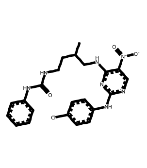 CC(CCNC(=O)Nc1ccccc1)CNc1nc(Nc2ccc(Cl)cc2)ncc1[N+](=O)[O-]